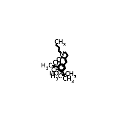 CCCCN1CC/C(=C/c2cc(C(C)(C)C)c(O)c(C(C)(C)C)c2)C1=O